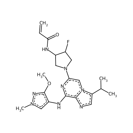 C=CC(=O)NC1CN(c2cn3c(C(C)C)cnc3c(Nc3cn(C)nc3OC)n2)CC1F